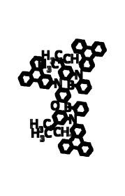 CC(C)(C)c1cc2c3c(c1)N(c1ccc4c5ccccc5c5ccccc5c4c1)c1ccccc1B3c1cc3c(cc1O2)N(c1ccc2c4ccccc4c4ccccc4c2c1)c1cc(C(C)(C)C)cc2c1B3c1ccccc1N2c1ccc2c3ccccc3c3ccccc3c2c1